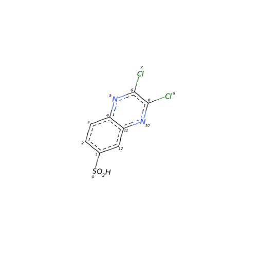 O=S(=O)(O)c1ccc2nc(Cl)c(Cl)nc2c1